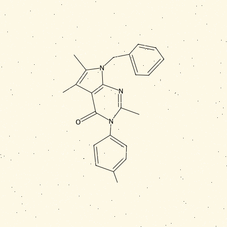 Cc1ccc(-n2c(C)nc3c(c(C)c(C)n3Cc3ccccc3)c2=O)cc1